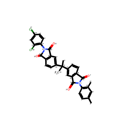 Cc1ccc(N2C(=O)c3ccc(C(C)(c4ccc5c(c4)C(=O)N(c4ccc(Cl)cc4Cl)C5=O)C(F)(F)F)cc3C2=O)c(C)c1